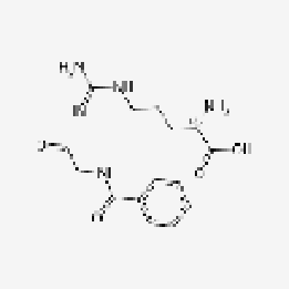 N=C(N)NCCC[C@H](N)C(=O)O.O=CCNC(=O)c1ccccc1